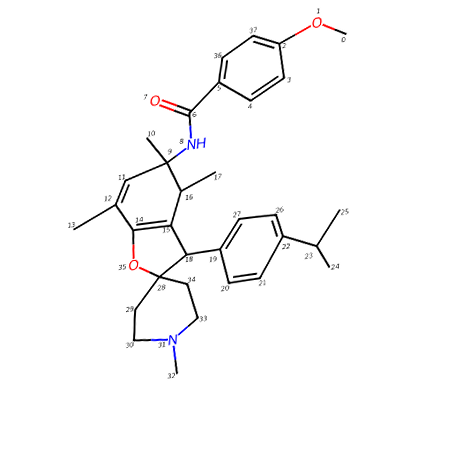 COc1ccc(C(=O)NC2(C)C=C(C)C3=C(C2C)C(c2ccc(C(C)C)cc2)C2(CCN(C)CC2)O3)cc1